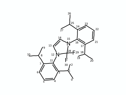 CC(C)c1cccc(C(C)C)c1N1C=CN(c2c(C(C)C)cccc2C(C)C)C1(F)F